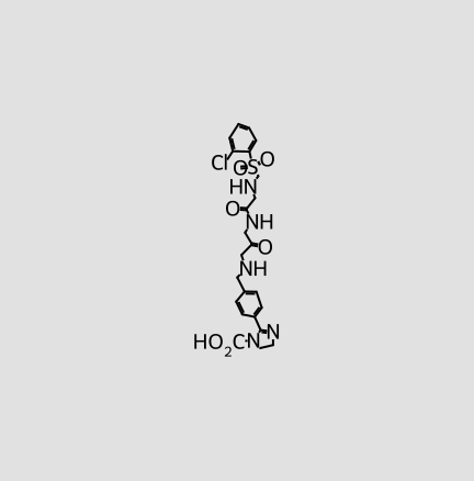 O=C(CNCc1ccc(C2=NCCN2C(=O)O)cc1)CNC(=O)CNCS(=O)(=O)c1ccccc1Cl